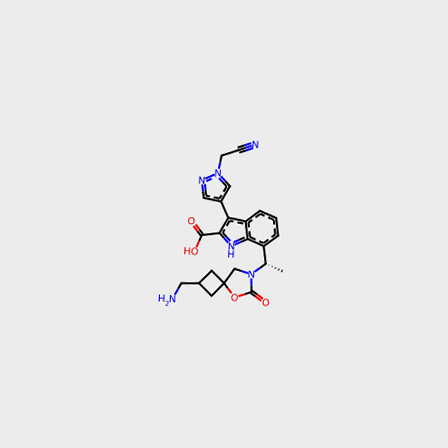 C[C@@H](c1cccc2c(-c3cnn(CC#N)c3)c(C(=O)O)[nH]c12)N1CC2(CC(CN)C2)OC1=O